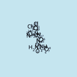 NC(=O)[C@H](Cc1ccccc1)NC(=O)c1cccc(-c2cc(-c3cccnc3)n(-c3ccc(Cl)c(Cl)c3)n2)n1